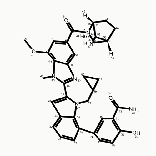 COc1cc(C(=O)N2C[C@H]3CC[C@@H]2[C@@H]3N)cc2nc(-c3cc4cccc(-c5ccc(O)c(C(N)=O)c5)c4n3CC3CC3)n(C)c12